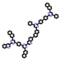 c1ccc(-c2cc(-c3ccc4ccccc4c3)nc(-c3ccc(-c4ccc(-c5nc(-c6ccccc6)cc(-c6ccc7ccc(-c8ccc9cc(-c%10nc(-c%11ccc(-c%12cc(-c%13ccc%14ccccc%14c%13)nc(-c%13cnc%14ccccc%14c%13)n%12)cc%11)cc(-c%11ccc%12ccccc%12c%11)n%10)cnc9c8)cc7c6)n5)cc4)cc3)n2)cc1